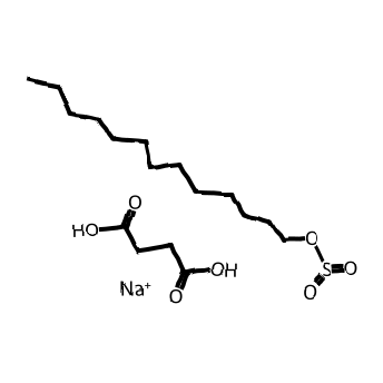 CCCCCCCCCCCCCO[S-](=O)=O.O=C(O)CCC(=O)O.[Na+]